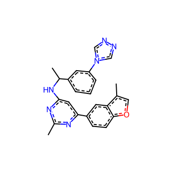 Cc1nc(NC(C)c2cccc(-n3cnnc3)c2)cc(-c2ccc3occ(C)c3c2)n1